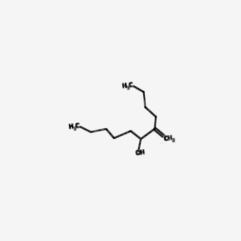 C=C(CCCC)C(O)CCCCC